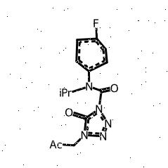 CC(=O)Cn1nnn(C(=O)N(c2ccc(F)cc2)C(C)C)c1=O